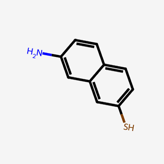 Nc1ccc2ccc(S)cc2c1